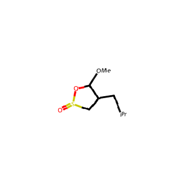 COC1OS(=O)CC1CC(C)C